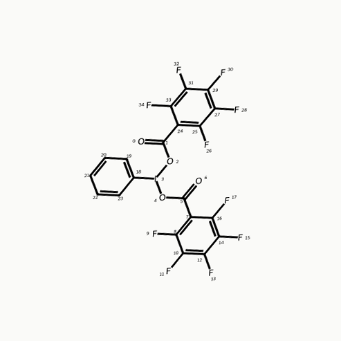 O=C(OI(OC(=O)c1c(F)c(F)c(F)c(F)c1F)c1ccccc1)c1c(F)c(F)c(F)c(F)c1F